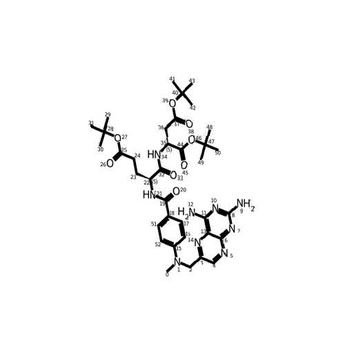 CN(Cc1cnc2nc(N)nc(N)c2n1)c1ccc(C(=O)N[C@@H](CCC(=O)OC(C)(C)C)C(=O)N[C@@H](CC(=O)OC(C)(C)C)C(=O)OC(C)(C)C)cc1